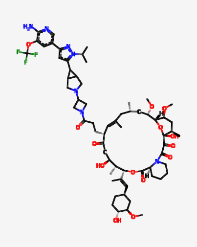 CO[C@H]1C[C@@H](C)C/C(C)=C/[C@@H](CCC(=O)N2CC(N3CC4C(C3)C4c3cc(-c4cnc(N)c(OC(F)(F)F)c4)nn3C(C)C)C2)C(=O)C[C@H](O)[C@@H](C)[C@@H](/C(C)=C/[C@@H]2CC[C@@H](O)[C@H](OC)C2)OC(=O)[C@@H]2CCCCN2C(=O)C(=O)[C@]2(O)O[C@H]1[C@@H](OC)C[C@H]2C